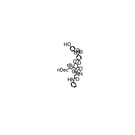 CCCCCCCCCCCCCC(C(Cl)C(Oc1ccc(S(=O)(=O)Oc2ccc(O)cc2)cc1)C(=O)C(C)(C)C)S(=O)(=O)NCC(=O)Nc1ccccc1